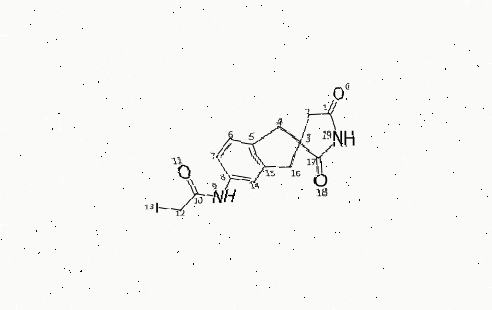 O=C1CC2(Cc3ccc(NC(=O)CI)cc3C2)C(=O)N1